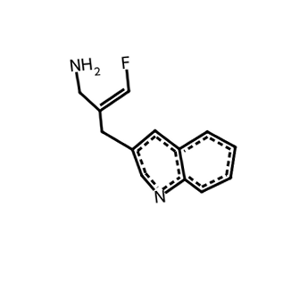 NCC(=CF)Cc1cnc2ccccc2c1